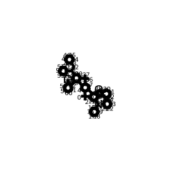 CC1(C)c2cc3c(cc2-c2c1cc(N(c1ccccc1)c1ccccc1)c1c2oc2ccccc21)C(C)(C)c1cc(C(Cc2ccccc2)c2ccccc2)c2oc4ccccc4c2c1-3